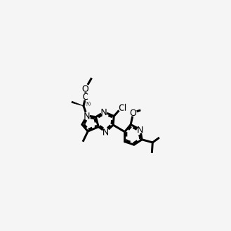 COC[C@H](C)n1cc(C)c2nc(-c3ccc(C(C)C)nc3OC)c(Cl)nc21